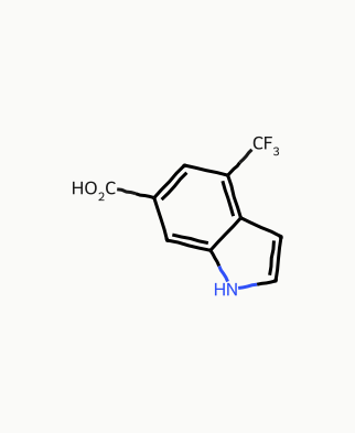 O=C(O)c1cc(C(F)(F)F)c2cc[nH]c2c1